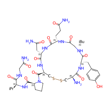 CC[C@H](C)C1NC(=O)[C@H](Cc2ccc(O)cc2)NC(=O)[C@@H](N)CSSC[C@@H](C(=O)N2CCC[C@H]2C(=O)N[C@H](C(=O)NCC(N)=O)C(C)C)NC(=O)[C@H](CC(N)=O)NC(=O)[C@H](CCC(N)=O)NC1=O